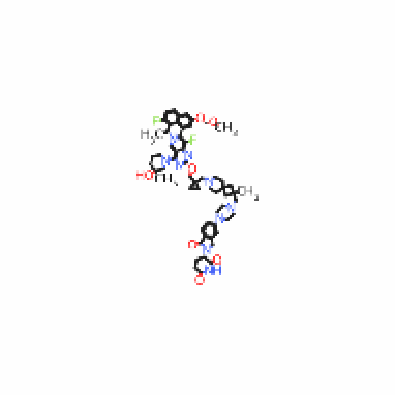 CCc1c(F)ccc2cc(OCOC)cc(-c3ncc4c(N5CCC[C@@](C)(O)C5)nc(OCC5(CN6CCC7(CC6)CC(C)(CN6CCN(c8ccc9c(c8)CN([C@H]8CCC(=O)NC8=O)C9=O)CC6)C7)CC5)nc4c3F)c12